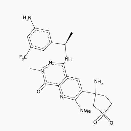 CNc1nc2c(=O)n(C)nc(N[C@H](C)c3cc(N)cc(C(F)(F)F)c3)c2cc1C1(N)CCS(=O)(=O)C1